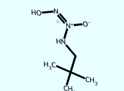 CC(C)(C)CN/[N+]([O-])=N\O